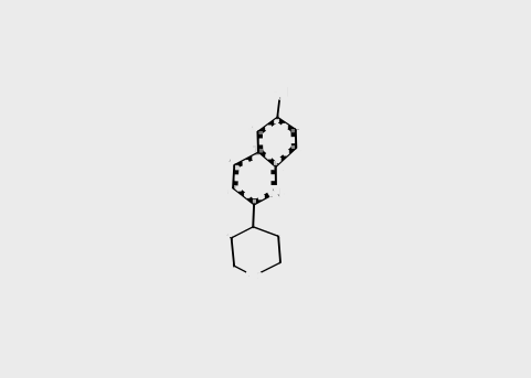 O=Cc1ccc2nc(C3CCOCC3)ccc2c1